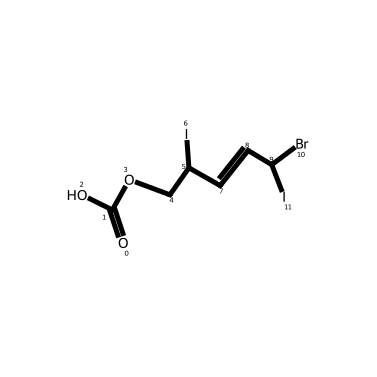 O=C(O)OCC(I)C=CC(Br)I